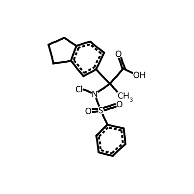 CC(C(=O)O)(c1ccc2c(c1)CCC2)N(Cl)S(=O)(=O)c1ccccc1